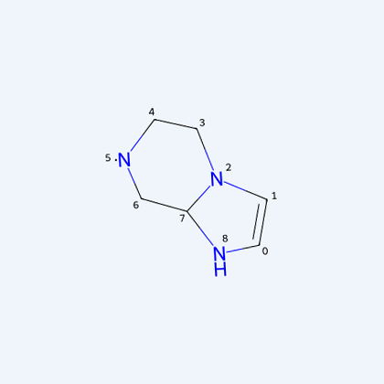 C1=CN2CC[N]CC2N1